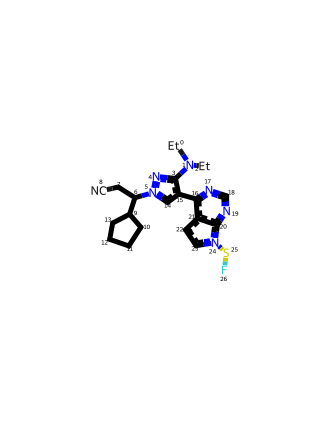 CCN(CC)c1nn(C(CC#N)C2CCCC2)cc1-c1ncnc2c1ccn2SF